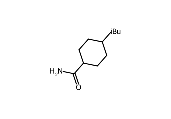 CCC(C)C1CCC(C(N)=O)CC1